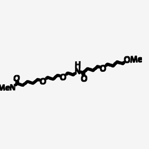 CNC(=O)CCCCOCCCOCCNC(=O)CCCOCCCCOC